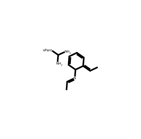 CC=NC1C=CC=CC1=CC.CCCCCC(N)N